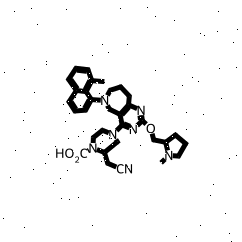 Cc1cccc2cccc(N3CCCc4nc(OCC5CCCN5C)nc(N5CCN(C(=O)O)C(CC#N)C5)c4C3)c12